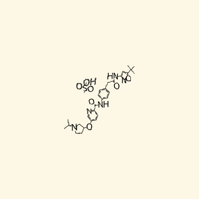 CC(C)N1CCC(Oc2ccc(C(=O)Nc3ccc(CC(=O)Nc4cc(C(C)(C)C)on4)cc3)nc2)C1.CS(=O)(=O)O